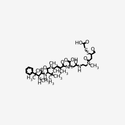 CN[C@H](C(=O)NC(C(=O)N(C)C/C=C(\C)C(=O)N[C@H](CC(=O)NCCN(C)C(=O)CC(C=O)SCCC(=O)O)C(=O)O)C(C)(C)C)C(C)(C)c1ccccc1